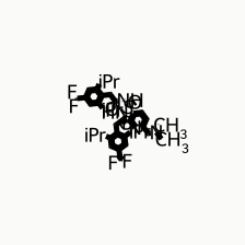 CC(C)c1cc(C(F)F)cc(C(C)C)c1CC(=O)N[SH](=O)(NC(=O)Cc1c(C(C)C)cc(C(F)F)cc1C(C)C)c1ccc(CN(C)C)nc1